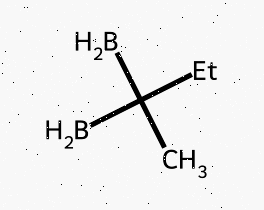 BC(B)(C)CC